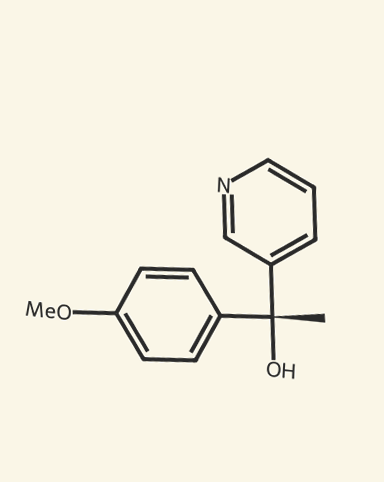 COc1ccc([C@@](C)(O)c2cccnc2)cc1